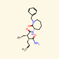 C=CC[C@H](C(N)=O)[C@@H](CC(C)C)C(=O)N[C@H]1CCCCN(Cc2ccccc2)C1=O